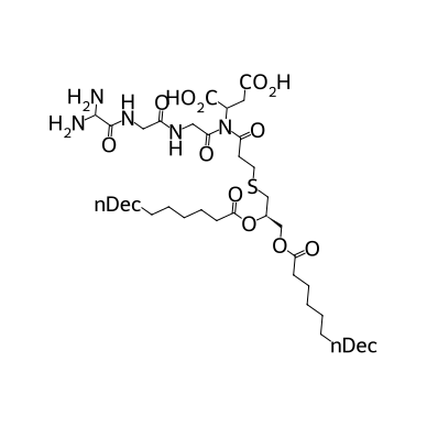 CCCCCCCCCCCCCCCC(=O)OC[C@H](CSCCC(=O)N(C(=O)CNC(=O)CNC(=O)C(N)N)C(CC(=O)O)C(=O)O)OC(=O)CCCCCCCCCCCCCCC